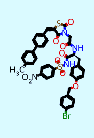 Cc1ccc(-c2ccc(C=C3SC(=O)N(CC(=O)N[C@@H](Cc4ccc(OCc5ccc(Br)cc5)cc4)C(=O)NS(=O)(=O)c4ccc([N+](=O)[O-])cc4)C3=O)cc2)cc1